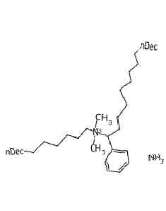 CCCCCCCCCCCCCCCCCCC(c1ccccc1)[N+](C)(C)CCCCCCCCCCCCCCCC.N